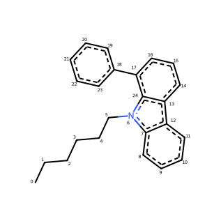 CCCCCCn1c2ccccc2c2cccc(-c3ccccc3)c21